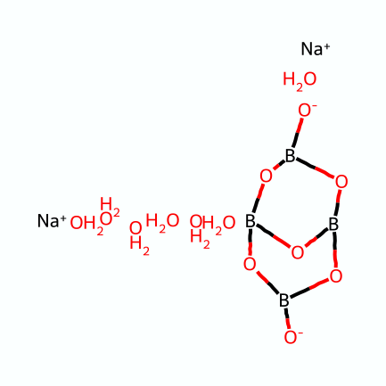 O.O.O.O.O.O.O.[Na+].[Na+].[O-]B1OB2OB([O-])OB(O1)O2